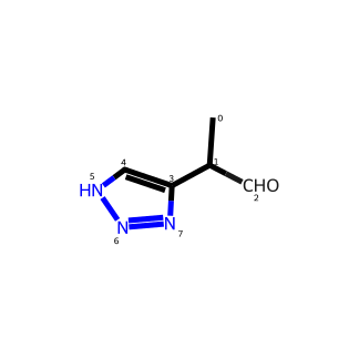 CC(C=O)c1c[nH]nn1